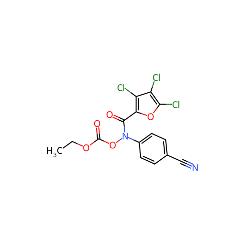 CCOC(=O)ON(C(=O)c1oc(Cl)c(Cl)c1Cl)c1ccc(C#N)cc1